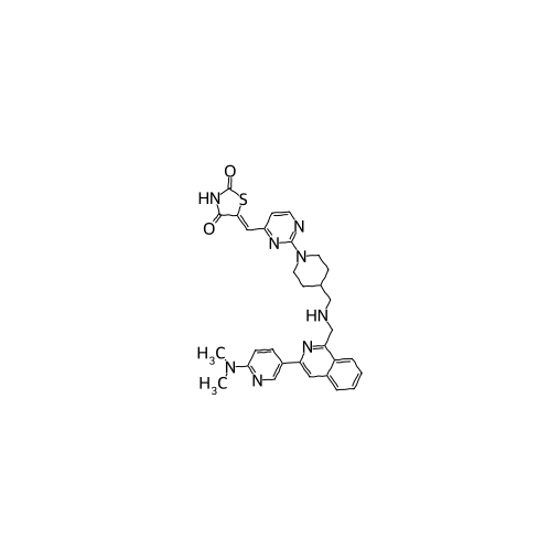 CN(C)c1ccc(-c2cc3ccccc3c(CNCC3CCN(c4nccc(/C=C5\SC(=O)NC5=O)n4)CC3)n2)cn1